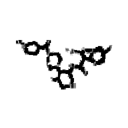 CCN1CCC(C(=O)N2CCN(C3C(F)CNCC3NC(=O)c3c(N)nn4cc(F)cnc34)CC2)C1